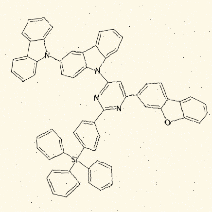 c1ccc([Si](c2ccccc2)(c2ccccc2)c2ccc(-c3nc(-c4ccc5c(c4)oc4ccccc45)cc(-n4c5ccccc5c5cc(-n6c7ccccc7c7ccccc76)ccc54)n3)cc2)cc1